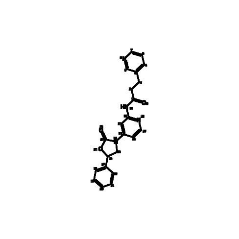 O=C(CCc1cccnc1)Nc1cc(N2CC(c3ccccc3)OC2=O)ccn1